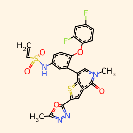 C=CS(=O)(=O)Nc1ccc(Oc2ccc(F)cc2F)c(-c2cn(C)c(=O)c3cc(-c4nnc(C)o4)sc23)c1